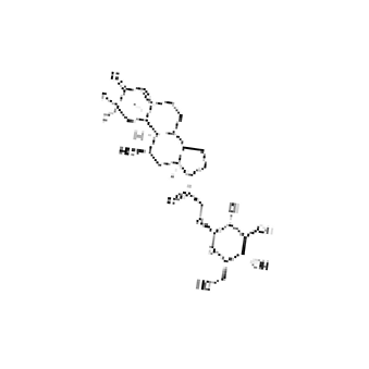 C[C@]12CC(F)(F)C(=O)C=C1CCC1C3CC[C@H](C(=O)CO[C@@H]4O[C@H](CO)[C@@H](O)[C@H](O)[C@H]4O)[C@@]3(C)C[C@@H](O)[C@H]12